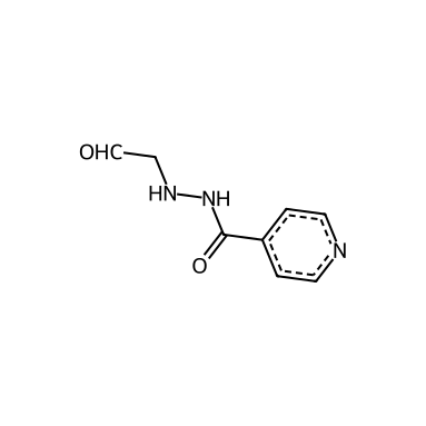 O=CCNNC(=O)c1ccncc1